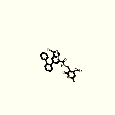 CCOc1cc(C)[nH]c(=O)c1CNC(=O)c1cc(-c2ccccc2-c2ccccc2)cc2c(C(C)C)ncn12